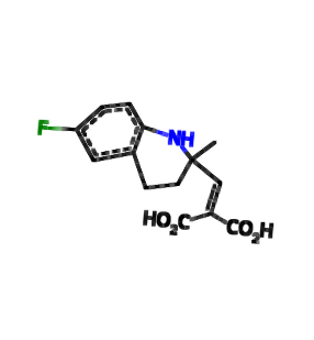 CC1(C=C(C(=O)O)C(=O)O)CCc2cc(F)ccc2N1